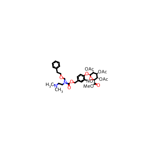 COC(=O)[C@H]1O[C@@H](Oc2ccc(COC(=O)N(CCN(C)C)COCCc3ccccc3)cc2[N+](=O)[O-])[C@H](OC(C)=O)[C@@H](OC(C)=O)[C@@H]1OC(C)=O